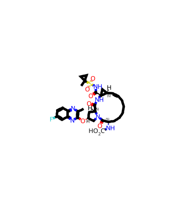 Cc1nc2ccc(F)cc2nc1O[C@@H]1C[C@H]2C(=O)N[C@]3(C(=O)NS(=O)(=O)C4(C)CC4)C[C@H]3C=CCCCCC[C@H](NC(=O)O)C(=O)N2C1